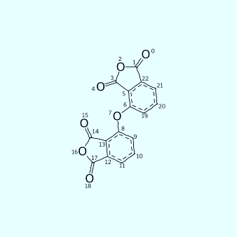 O=C1OC(=O)c2c(Oc3cccc4c3C(=O)OC4=O)cccc21